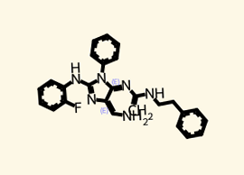 C=C(/N=C1\C(=C/N)N=C(Nc2ccccc2F)N1c1ccccc1)NCCc1ccccc1